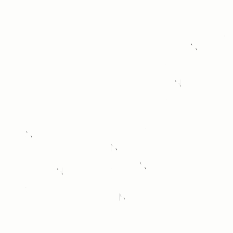 Cc1ccncc1NC(=O)c1ccnc2[nH]c(-c3ccc(N4CCN(C)CC4)cc3)nc12